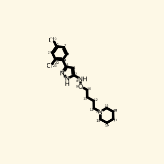 Clc1ccc(-c2cc(NOCCCCN3CCCCC3)[nH]n2)c(Cl)c1